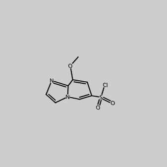 COc1cc(S(=O)(=O)Cl)cn2ccnc12